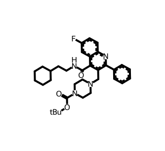 CC(C)(C)OC(=O)N1CCN(Cc2c(-c3ccccc3)nc3ccc(F)cc3c2C(=O)NCCC2CCCCC2)CC1